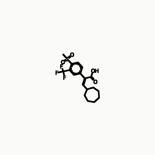 CS(=O)(=O)c1ccc(C(=CC2CCCCCC2)C(=O)O)cc1C(F)(F)F